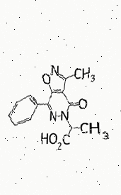 Cc1noc2c(-c3ccccc3)nn(C(C)C(=O)O)c(=O)c12